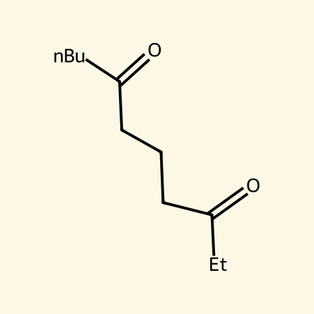 CCCCC(=O)CCCC(=O)CC